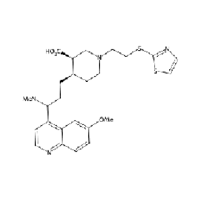 CNC(CC[C@@H]1CCN(CCSc2nccs2)C[C@@H]1C(=O)O)c1ccnc2ccc(OC)cc12